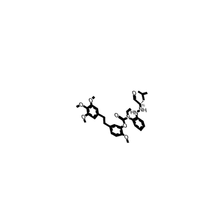 CCN(C(=O)Oc1cc(CCc2cc(OC)c(OC)c(OC)c2)ccc1OC)c1ccccc1NN[C@H](C=O)CC(C)C